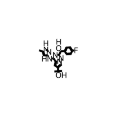 Cc1cc(Nc2nc(C(O)c3ccc(F)cc3)nn3cc(C(C)(C)O)cc23)n[nH]1